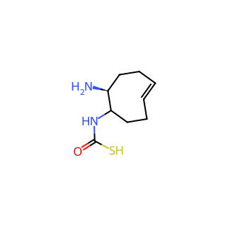 N[C@H]1CC/C=C/CCC1NC(=O)S